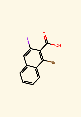 O=C(O)c1c(I)cc2ccccc2c1Br